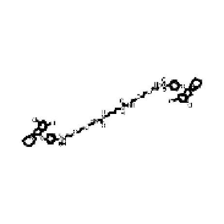 O=C(NCCCCNC(=O)NCCOCCOCCNS(=O)(=O)c1ccc(O[C@H]2c3cc(Cl)cc(Cl)c3C[C@@H]2N2C3CCCC2CC3)cc1)NCCOCCOCCNS(=O)(=O)c1ccc(O[C@H]2c3cc(Cl)cc(Cl)c3C[C@@H]2N2C3CCCC2CC3)cc1